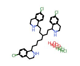 Cl.Cl.Cl.Clc1ccc2c(c1)CCNC2CCCCC(CCC1NCCc2cc(Cl)ccc21)CCC1NCCc2cc(Cl)ccc21.O.O.O